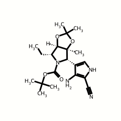 CC[C@@H]1[C@H]2OC(C)(C)O[C@@]2(C)[C@H](c2c[nH]c(C#N)c2N)N1C(=O)OC(C)(C)C